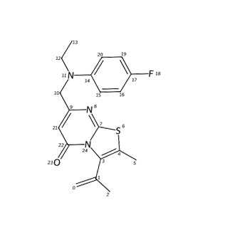 C=C(C)c1c(C)sc2nc(CN(CC)c3ccc(F)cc3)cc(=O)n12